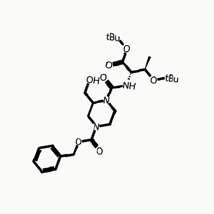 C[C@@H](OC(C)(C)C)[C@H](NC(=O)N1CCN(C(=O)OCc2ccccc2)CC1CO)C(=O)OC(C)(C)C